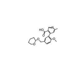 COc1ccc(COC2CCCCO2)cc1-c1cc(C)ncc1C(=O)O